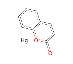 O=c1ccc2ccccc2o1.[Hg]